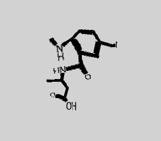 CNc1ccc(I)cc1C(=O)NC(C)CC(=O)O